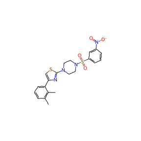 Cc1cccc(-c2csc(N3CCN(S(=O)(=O)c4cccc([N+](=O)[O-])c4)CC3)n2)c1C